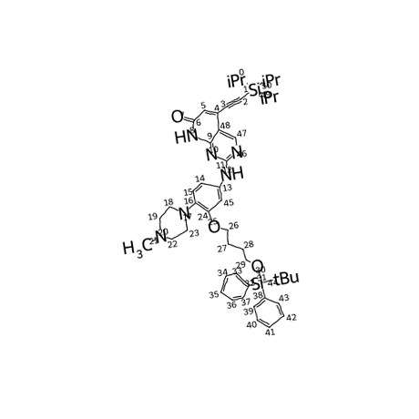 CC(C)[Si](C#Cc1cc(=O)[nH]c2nc(Nc3ccc(N4CCN(C)CC4)c(OCCCCO[Si](c4ccccc4)(c4ccccc4)C(C)(C)C)c3)ncc12)(C(C)C)C(C)C